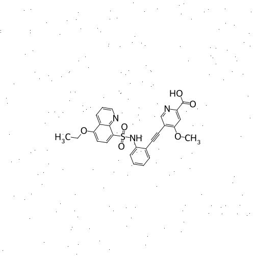 CCOc1ccc(S(=O)(=O)Nc2ccccc2C#Cc2cnc(C(=O)O)cc2OC)c2ncccc12